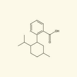 CC1CCC(C(C)C)C(c2[c]cccc2C(=O)O)C1